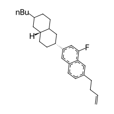 C=CCCc1ccc2cc([C@@H]3CC[C@@H]4CC(CCCC)CCC4C3)cc(F)c2c1